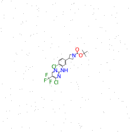 CC(C)(C)OC(=O)N1CC(c2ccc(Cl)c(Nc3ncc(C(F)(F)F)c(Cl)n3)c2)C1